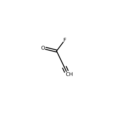 C#CC(=O)F